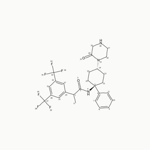 CC(C(=O)N[C@]1(c2ccccc2)CC[C@@H](N2CCNCC2=O)CC1)c1cc(C(F)(F)F)cc(C(F)(F)F)c1